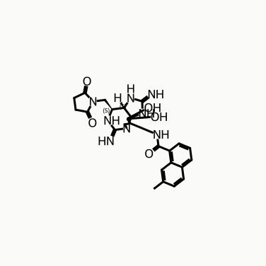 Cc1ccc2cccc(C(=O)NC3CN4C(=N)N[C@@H](CN5C(=O)CCC5=O)[C@@H]5NC(=N)NC54C3(O)O)c2c1